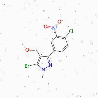 Cn1nc(-c2ccc(Cl)c([N+](=O)[O-])c2)c(C=O)c1Br